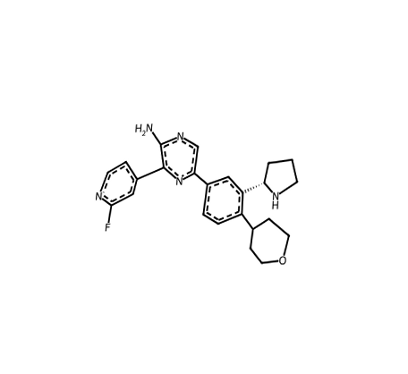 Nc1ncc(-c2ccc(C3CCOCC3)c([C@@H]3CCCN3)c2)nc1-c1ccnc(F)c1